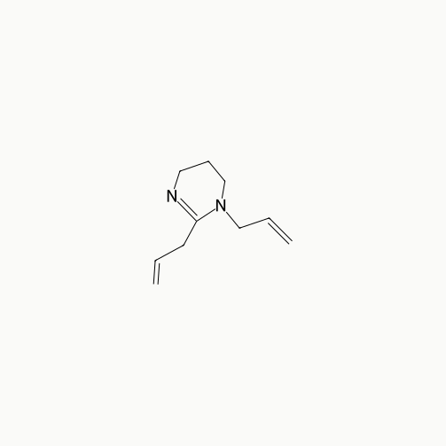 C=CCC1=NCCCN1CC=C